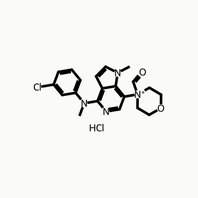 CN(c1cccc(Cl)c1)c1ncc([N+]2(C=O)CCOCC2)c2c1ccn2C.Cl